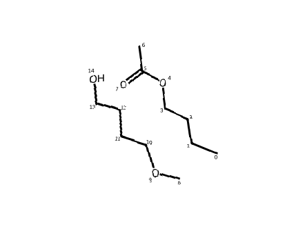 CCCCOC(C)=O.COCCCCO